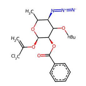 C=C(O[C@H]1OC(C)[C@@H](N=[N+]=[N-])C(OCCCC)[C@H]1OC(=O)c1ccccc1)C(Cl)(Cl)Cl